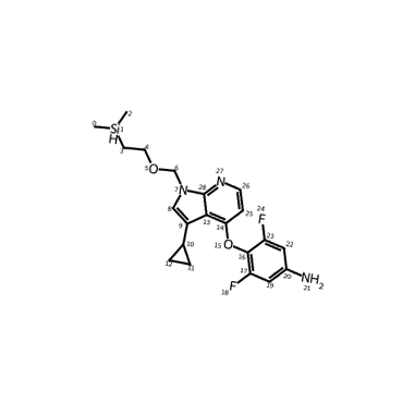 C[SiH](C)CCOCn1cc(C2CC2)c2c(Oc3c(F)cc(N)cc3F)ccnc21